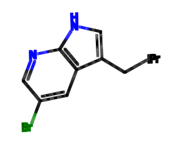 CC(C)Cc1c[nH]c2ncc(Br)cc12